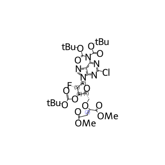 COC(=O)/C=C(\OC[C@H]1O[C@@H](n2cnc3c(N(C(=O)OC(C)(C)C)C(=O)OC(C)(C)C)nc(Cl)nc32)[C@@H](F)[C@@H]1OC(=O)OC(C)(C)C)C(=O)OC